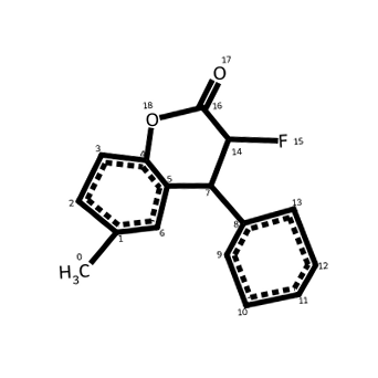 Cc1ccc2c(c1)C(c1ccccc1)C(F)C(=O)O2